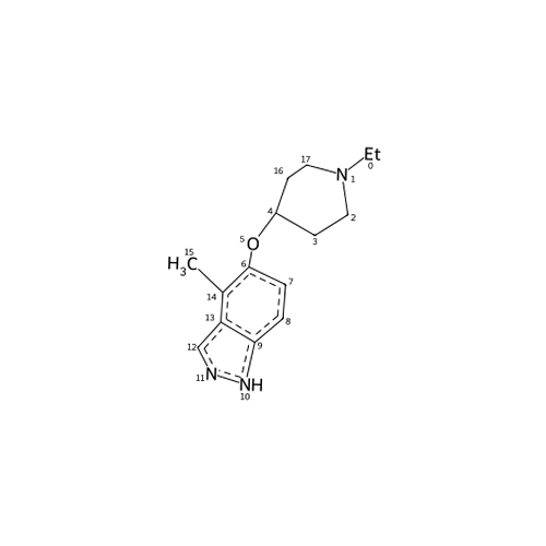 CCN1CCC(Oc2ccc3[nH]ncc3c2C)CC1